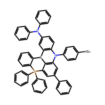 CC(C)(C)c1ccc(N2c3ccc(N(c4ccccc4)c4ccccc4)cc3B3c4ccccc4S(c4ccccc4)(c4ccccc4)c4cc(-c5ccccc5)cc2c43)cc1